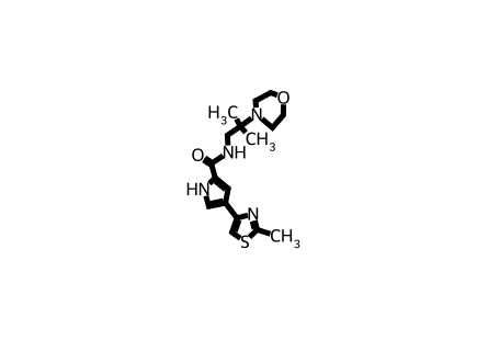 Cc1nc(-c2c[nH]c(C(=O)NCC(C)(C)N3CCOCC3)c2)cs1